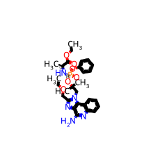 CCOCc1nc2c(N)nc3ccccc3c2n1CC(C)(C)O[P@@](=O)(N[C@@H](C)C(=O)OCC)Oc1ccccc1